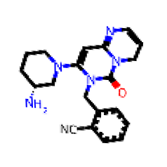 N#Cc1ccccc1CN1C(=O)N2CC=CN=C2C=C1N1CCC[C@@H](N)C1